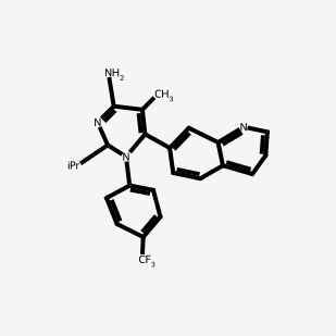 CC1=C(c2ccc3cccnc3c2)N(c2ccc(C(F)(F)F)cc2)C(C(C)C)N=C1N